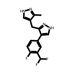 Cc1n[nH]cc1Cc1n[nH]cc1-c1ccc(F)c(C(F)F)c1